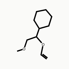 C=COC(COC)C1CCCCC1